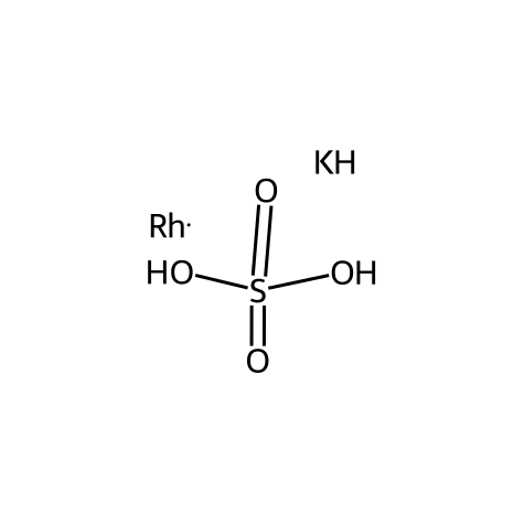 O=S(=O)(O)O.[KH].[Rh]